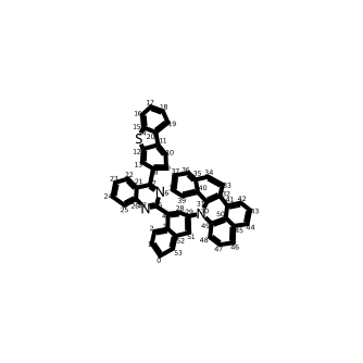 c1ccc2c(-c3nc(-c4ccc5c(c4)sc4ccccc45)c4ccccc4n3)cc(N3c4c(ccc5ccccc45)-c4cccc5cccc3c45)cc2c1